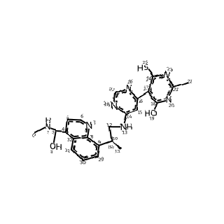 CNC(O)c1ccnc2c([C@H](C)CNc3cc(-c4c(O)nc(C)nc4S)ncn3)cccc12